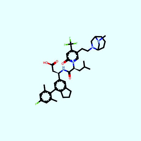 Cc1cc(F)cc(C)c1-c1cc([C@@H](CC(=O)O)NC(=O)[C@H](CC(C)C)n2cc(CCN3CC4CCCC3CN4C)c(C(F)(F)F)cc2=O)cc2c1CCC2